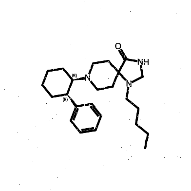 CCCCCN1CNC(=O)C12CCN([C@@H]1CCCC[C@@H]1c1ccccc1)CC2